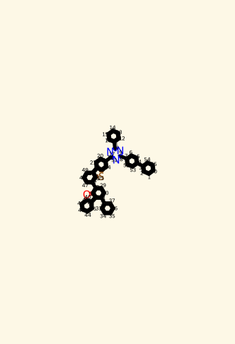 c1ccc(-c2ccc(-c3nc(-c4ccccc4)nc(-c4ccc5c(c4)sc4c(-c6ccc(-c7ccccc7)c7c6oc6ccccc67)cccc45)n3)cc2)cc1